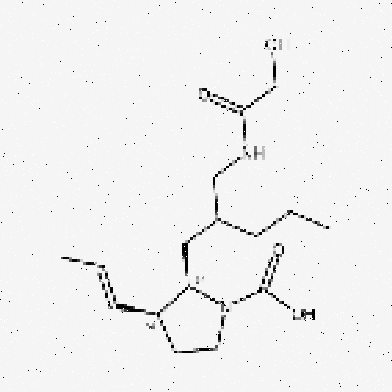 CC=C[C@@H]1CCN(C(=O)O)[C@@H]1CC(CCC)CNC(=O)CO